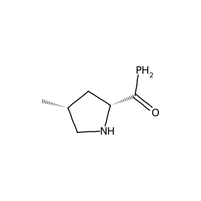 C[C@H]1CN[C@@H](C(=O)P)C1